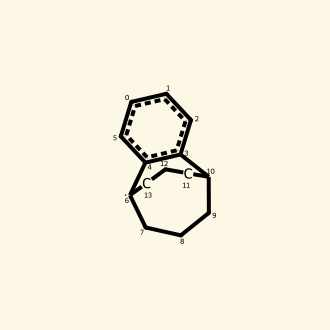 c1ccc2c(c1)[C]1CCCC2CCC1